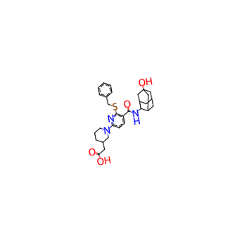 O=C(O)CC1CCCN(c2ccc(C(=O)NC3C4CC5CC3CC(O)(C5)C4)c(SCc3ccccc3)n2)C1